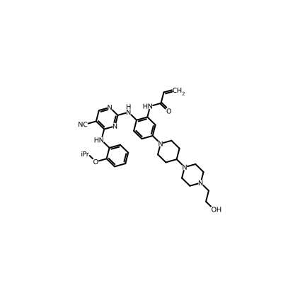 C=CC(=O)Nc1cc(N2CCC(N3CCN(CCO)CC3)CC2)ccc1Nc1ncc(C#N)c(Nc2ccccc2OC(C)C)n1